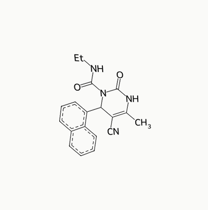 CCNC(=O)N1C(=O)NC(C)=C(C#N)C1c1cccc2ccccc12